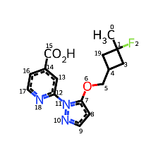 CC1(F)CC(COc2ccnn2-c2cc(C(=O)O)ccn2)C1